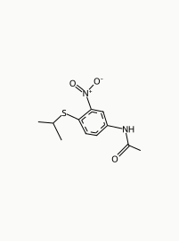 CC(=O)Nc1ccc(SC(C)C)c([N+](=O)[O-])c1